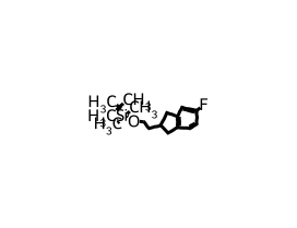 CC(C)(C)[Si](C)(C)OCCC1Cc2ccc(F)cc2C1